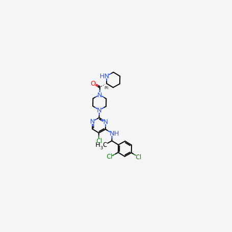 CC(Nc1nc(N2CCN(C(=O)[C@H]3CCCCN3)CC2)ncc1Cl)c1ccc(Cl)cc1Cl